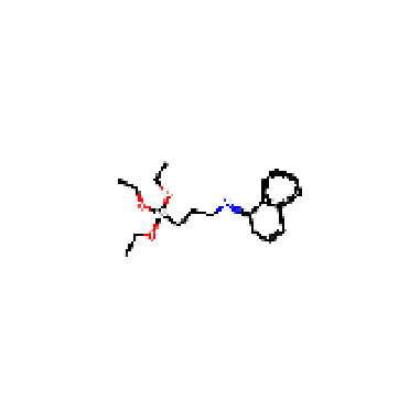 CCO[Si](CCCN=C1CC=Cc2ccccc21)(OCC)OCC